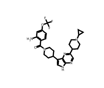 Nc1cc(OC(F)(F)F)ccc1C(=O)N1CCC(c2c[nH]c3ncc(C4CCN(C5CC5)CC4)nc23)CC1